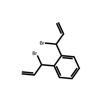 C=CC(Br)c1ccccc1C(Br)C=C